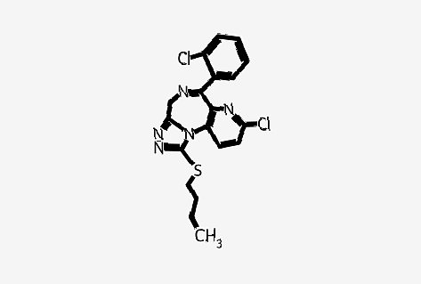 CCCCSc1nnc2n1-c1ccc(Cl)nc1C(c1ccccc1Cl)=NC2